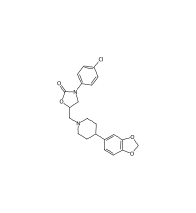 O=C1OC(CN2CCC(c3ccc4c(c3)OCO4)CC2)CN1c1ccc(Cl)cc1